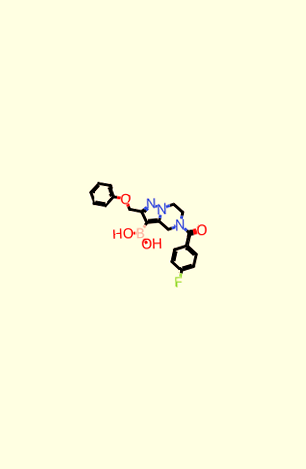 O=C(c1ccc(F)cc1)N1CCn2nc(COc3ccccc3)c(B(O)O)c2C1